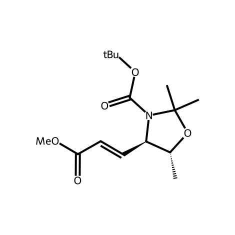 COC(=O)C=C[C@@H]1[C@@H](C)OC(C)(C)N1C(=O)OC(C)(C)C